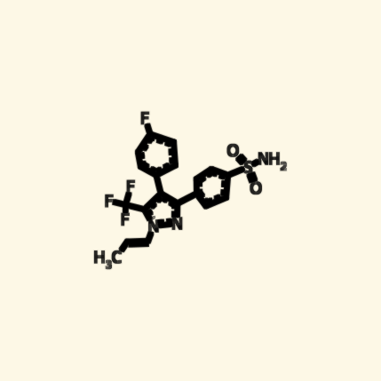 CC=Cn1nc(-c2ccc(S(N)(=O)=O)cc2)c(-c2ccc(F)cc2)c1C(F)(F)F